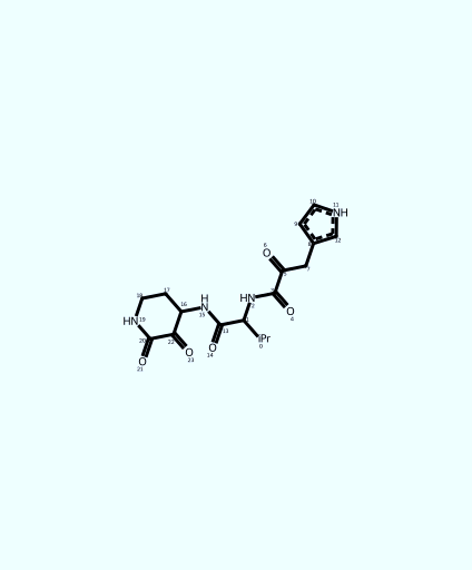 CC(C)C(NC(=O)C(=O)Cc1cc[nH]c1)C(=O)NC1CCNC(=O)C1=O